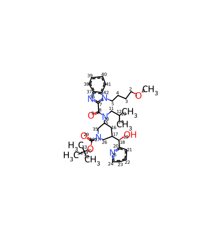 COCCCCn1c(C(=O)N(CC(C)C)[C@H]2CC([C@@H](O)c3ccccn3)CN(C(=O)OC(C)(C)C)C2)nc2ccccc21